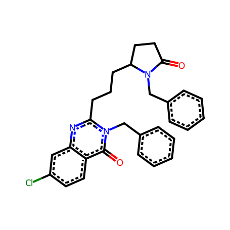 O=C1CCC(CCCc2nc3cc(Cl)ccc3c(=O)n2Cc2ccccc2)N1Cc1ccccc1